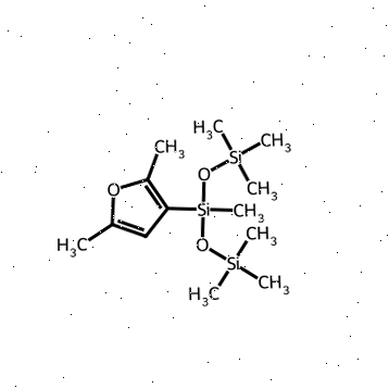 Cc1cc([Si](C)(O[Si](C)(C)C)O[Si](C)(C)C)c(C)o1